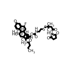 CCCC1O[C@@H]2C[C@H]3[C@@H]4C[C@H](F)C5=CC(=O)C=C[C@]5(C)[C@@]4(F)[C@@H](O)C[C@]3(C)C2(C(=O)COC(=O)NCCSSC(C)(C)CC(=O)ON2C(=O)CCC2=O)O1